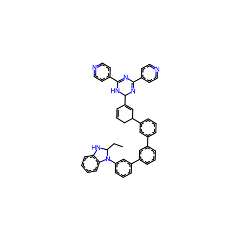 CCC1Nc2ccccc2N1c1cccc(-c2cccc(-c3cccc(C4C=C(C5N=C(c6ccncc6)N=C(c6ccncc6)N5)C=CC4)c3)c2)c1